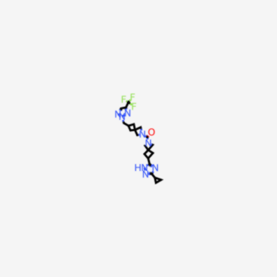 O=C(N1CC2(CC(Cn3ncc(C(F)(F)F)n3)C2)C1)N1CC2(CC(c3nc(C4CC4)n[nH]3)C2)C1